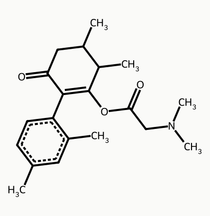 Cc1ccc(C2=C(OC(=O)CN(C)C)C(C)C(C)CC2=O)c(C)c1